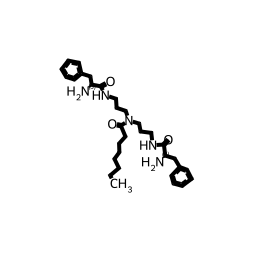 CCCCCCCC(=O)N(CCCNC(=O)[C@@H](N)Cc1ccccc1)CCCNC(=O)[C@@H](N)Cc1ccccc1